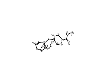 CCOC(=O)C1(Cc2cc(C)ccn2)CCN(C(=O)OC(C)(C)C)CC1